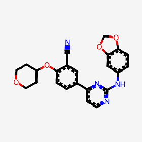 N#Cc1cc(-c2ccnc(Nc3ccc4c(c3)OCO4)n2)ccc1OC1CCOCC1